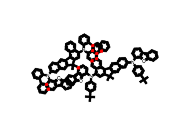 CC(C)(C)c1ccc(N(c2ccc3cc4c(cc3c2)C(C)(C)c2cc(N(c3ccc(C(C)(C)C)cc3)c3cccc5c3oc3ccccc35)c3ccc(-c5cccc(-c6ccccc6N(c6cc7c(c8ccccc68)-c6cc8ccc(N(c9ccccc9-c9ccccc9)c9cccc%10c9oc9ccccc9%10)cc8cc6C7(C)C)c6cccc7c6oc6ccccc67)c5)cc3c2-4)c2cccc3c2oc2ccccc23)cc1